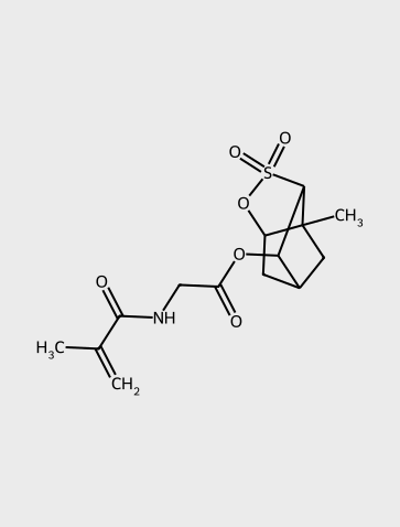 C=C(C)C(=O)NCC(=O)OC1C2CC3OS(=O)(=O)C1C3(C)C2